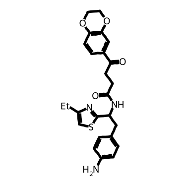 CCc1csc(C(Cc2ccc(N)cc2)NC(=O)CCC(=O)c2ccc3c(c2)OCCO3)n1